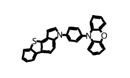 c1ccc2c(c1)Oc1ccccc1N2c1ccc(-n2ccc3c4sc5ccccc5c4ccc32)cc1